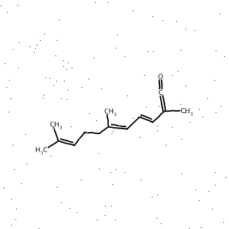 CC(=C=O)/C=C/C=C(\C)CCC=C(C)C